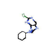 Clc1ncc2ncn(C3CCCCC3)c2n1